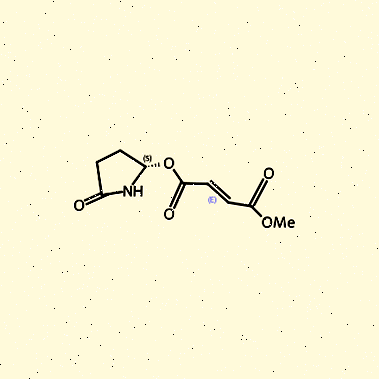 COC(=O)/C=C/C(=O)O[C@H]1CCC(=O)N1